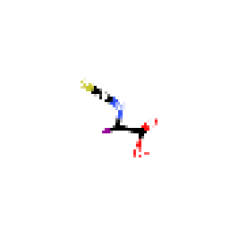 O=C(O)C(I)N=C=S